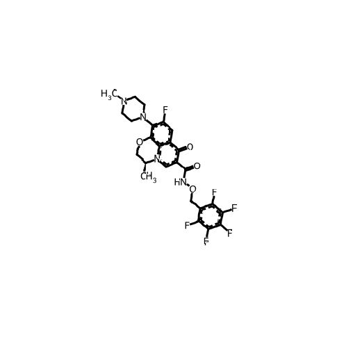 C[C@H]1COc2c(N3CCN(C)CC3)c(F)cc3c(=O)c(C(=O)NOCc4c(F)c(F)c(F)c(F)c4F)cn1c23